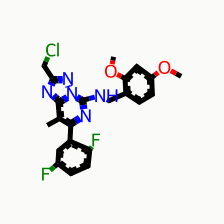 COc1ccc(CNc2nc(-c3cc(F)ccc3F)c(C)c3nc(CCl)nn23)c(OC)c1